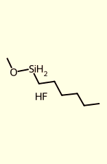 CCCCCC[SiH2]OC.F